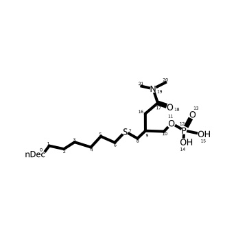 CCCCCCCCCCCCCCCCSCC(COP(=O)(O)O)CC(=O)N(C)C